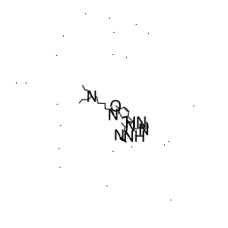 CCCN(CCC)CCCCc1nc2cc(CN(Cc3ncc[nH]3)C(C)c3ncc[nH]3)ccc2o1